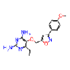 CCc1nc(N)nc(N)c1OCc1cc(-c2ccc(OC)cc2)no1